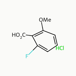 COc1cccc(F)c1C(=O)O.Cl